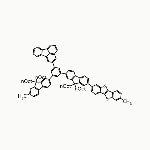 CCCCCCCCC1(CCCCCCCC)c2cc(C)ccc2-c2ccc(-c3cc(-c4ccc5c(c4)C(CCCCCCCC)(CCCCCCCC)c4cc(-c6ccc7c(c6)sc6c8ccc(C)cc8sc76)ccc4-5)cc(-c4cc5c6c(cccc6c4)-c4ccccc4-5)c3)cc21